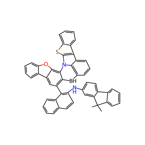 CC1(C)c2ccccc2-c2ccc(Nc3ccc4ccccc4c3-c3cc4c(oc5ccccc54)c4c3Bc3cccc5c6c7ccccc7sc6n-4c35)cc21